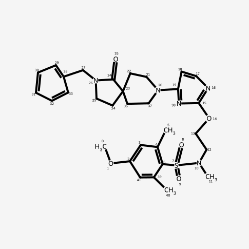 COc1cc(C)c(S(=O)(=O)N(C)CCOc2nccc(N3CCC4(CCN(Cc5ccccc5)C4=O)CC3)n2)c(C)c1